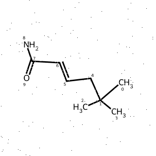 CC(C)(C)C/C=C/C(N)=O